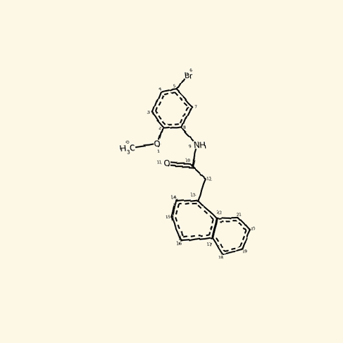 COc1ccc(Br)cc1NC(=O)Cc1cccc2ccccc12